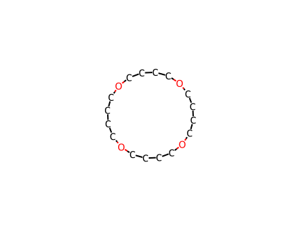 C1CCOCCCCOCCCCOCCCCOC1